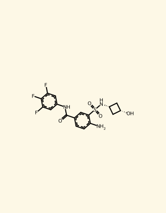 Nc1ccc(C(=O)Nc2cc(F)c(F)c(F)c2)cc1S(=O)(=O)N[C@H]1C[C@@H](O)C1